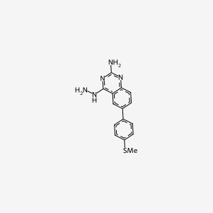 CSc1ccc(-c2ccc3nc(N)nc(NN)c3c2)cc1